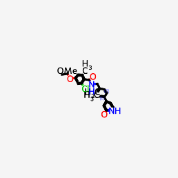 C=C(/C=C\C(=C/C)c1cc[nH]c(=O)c1)CNC(=O)c1c(C)cc(OCCOC)cc1Cl